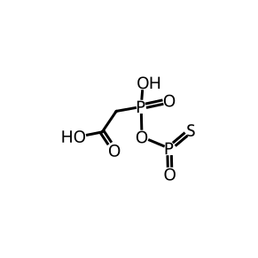 O=C(O)CP(=O)(O)OP(=O)=S